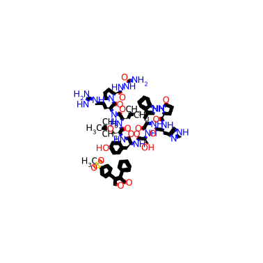 CC(C)C[C@H](NC(=O)[C@@H](COC(C)(C)C)NC(=O)[C@H](Cc1ccc(O)cc1)NC(=O)[C@H](CO)NC(=O)[C@H](Cc1c[nH]c2ccccc12)NC(=O)[C@H](Cc1c[nH]cn1)NC(=O)[C@@H]1CCC(=O)N1)C(=O)N[C@@H](CCCNC(=N)N)C(=O)N1CCC[C@H]1C(=O)NNC(N)=O.CS(=O)(=O)c1ccc(C2=C(c3ccccc3)C(=O)OC2)cc1